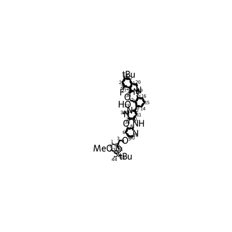 COC[C@@H](COc1ccc(Nc2cc(-c3cccc(-n4ncc5cc(C(C)(C)C)cc(F)c5c4=O)c3CO)nn(C)c2=O)nc1)O[Si](C)(C)C(C)(C)C